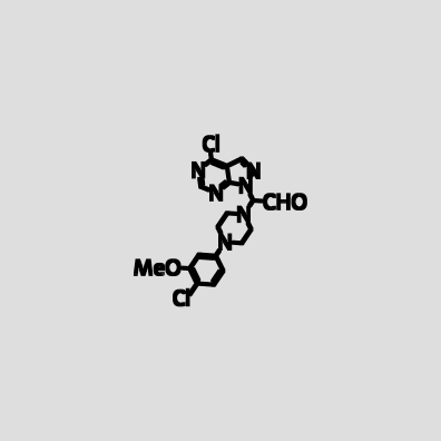 COc1cc(N2CCN(C(C=O)n3ncc4c(Cl)ncnc43)CC2)ccc1Cl